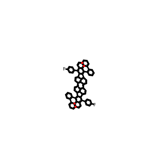 Fc1ccc(-c2c3c(c(-c4ccccc4-c4ccccc4)c4ccccc24)-c2ccc4c5ccc6c7c(ccc(c8ccc-3c2c84)c75)-c2c-6c(-c3ccc(F)cc3)c3ccccc3c2-c2ccccc2-c2ccccc2)cc1